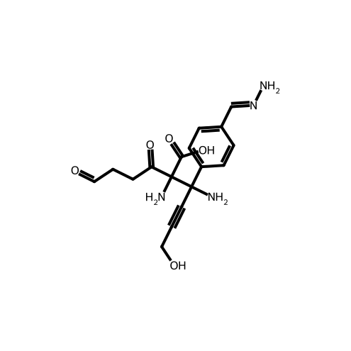 NN=Cc1ccc(C(N)(C#CCO)C(N)(C(=O)O)C(=O)CCC=O)cc1